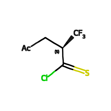 CC(=O)C[C@H](C(=S)Cl)C(F)(F)F